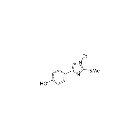 CCn1cc(-c2ccc(O)cc2)nc1SC